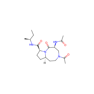 CC[C@H](C)NC(=O)[C@@H]1CC[C@@H]2CCN(C(C)=O)C[C@H](NC(C)=O)C(=O)N21